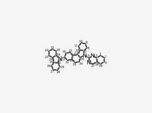 c1ccc2nc(-n3c4ccccc4c4c5ccc(-n6c7ccccc7c7ccccc76)cc5ccc43)ncc2c1